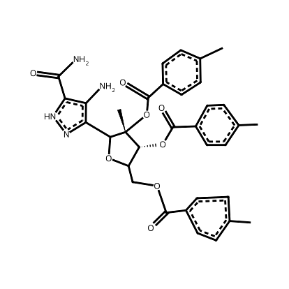 Cc1ccc(C(=O)OCC2OC(c3n[nH]c(C(N)=O)c3N)[C@](C)(OC(=O)c3ccc(C)cc3)[C@@H]2OC(=O)c2ccc(C)cc2)cc1